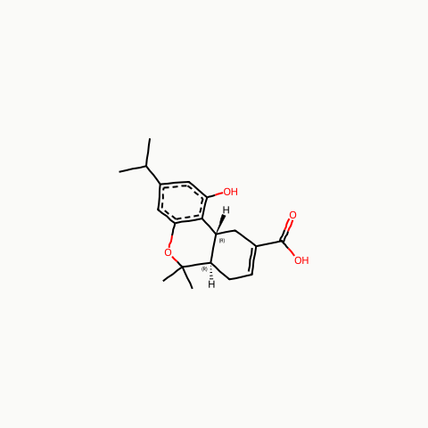 CC(C)c1cc(O)c2c(c1)OC(C)(C)[C@@H]1CC=C(C(=O)O)C[C@@H]21